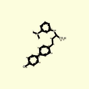 CN(C)c1cccc(OC(CCc2ccc(-c3ccc(Cl)cc3)cc2)C(=O)O)c1